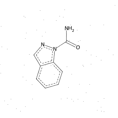 NC(=O)n1ncc2ccccc21